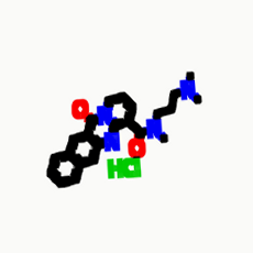 CN(C)CCCN(C)C(=O)c1cccn2c(=O)c3cc4ccccc4cc3nc12.Cl